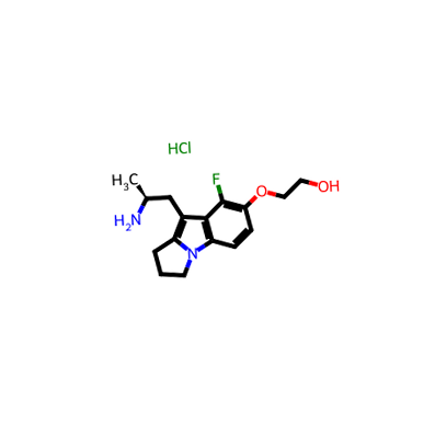 C[C@H](N)Cc1c2n(c3ccc(OCCO)c(F)c13)CCC2.Cl